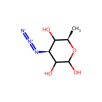 C[C@H]1OC(O)C(O)[C@@H](N=[N+]=[N-])C1O